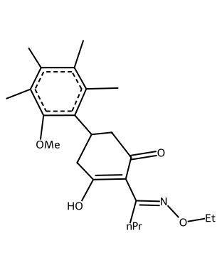 CCCC(=NOCC)C1=C(O)CC(c2c(C)c(C)c(C)c(C)c2OC)CC1=O